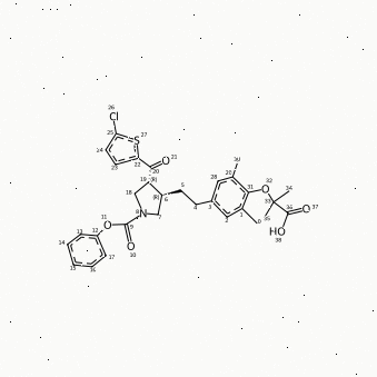 Cc1cc(CC[C@H]2CN(C(=O)Oc3ccccc3)C[C@@H]2C(=O)c2ccc(Cl)s2)cc(C)c1OC(C)(C)C(=O)O